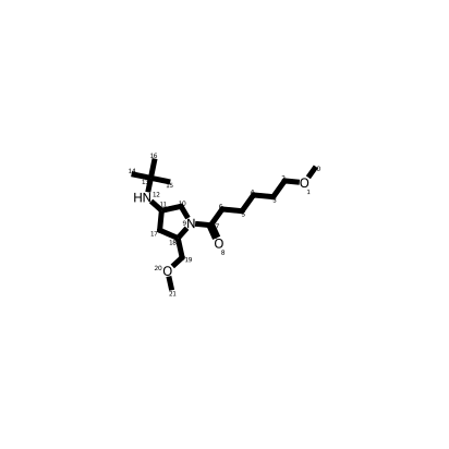 COCCCCCC(=O)N1CC(NC(C)(C)C)CC1COC